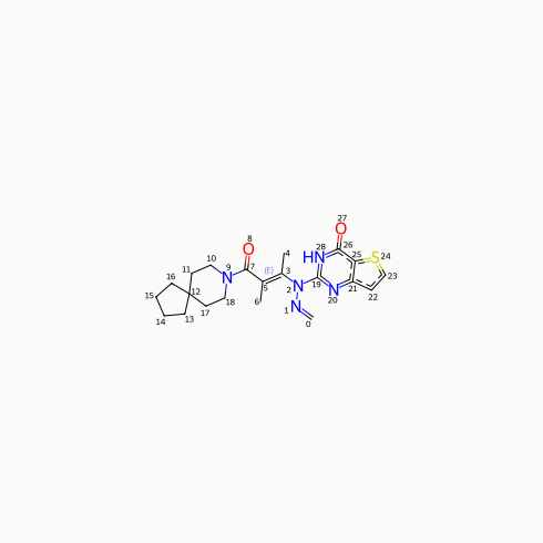 C=NN(/C(C)=C(\C)C(=O)N1CCC2(CCCC2)CC1)c1nc2ccsc2c(=O)[nH]1